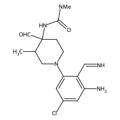 CNC(=O)NC1(C=O)CCN(c2cc(Cl)cc(N)c2C=N)CC1C